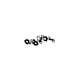 COCCOc1ccn2c(C(=O)Nc3cccc4c3cnn4Cc3ccccc3)cnc2c1